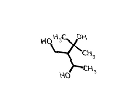 CC(O)C(CO)C(C)(C)O